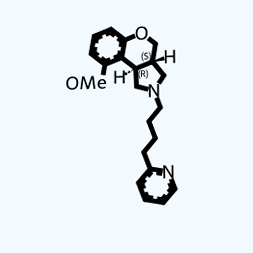 COc1cccc2c1[C@@H]1CN(CCCCc3ccccn3)C[C@H]1CO2